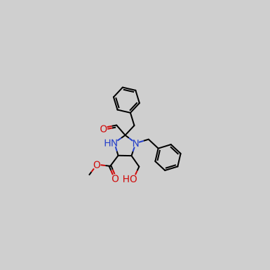 COC(=O)C1NC(C=O)(Cc2ccccc2)N(Cc2ccccc2)C1CO